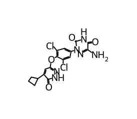 Nc1nn(-c2cc(Cl)c(Oc3cc(C4CCC4)c(=O)[nH]n3)c(Cl)c2)c(=O)[nH]c1=O